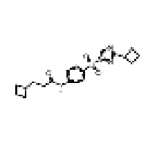 O=C(CCC1CCC1)Nc1ccc(S(=O)(=O)n2cnc(C3CCC3)n2)cc1